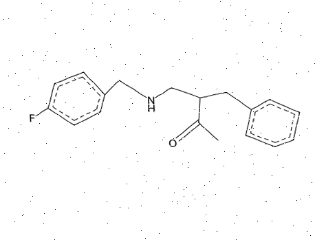 CC(=O)C(CNCc1ccc(F)cc1)Cc1ccccc1